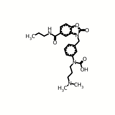 CCCNC(=O)c1ccc2oc(=O)n(Cc3cccc(N(CCCN(C)C)C(=O)O)c3)c2c1